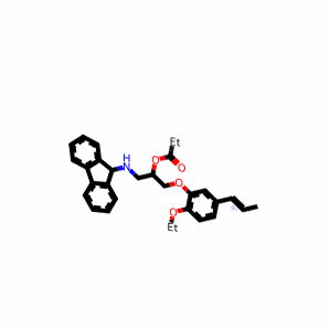 C/C=C/c1ccc(OCC)c(OCC(CNC2c3ccccc3-c3ccccc32)OC(=O)CC)c1